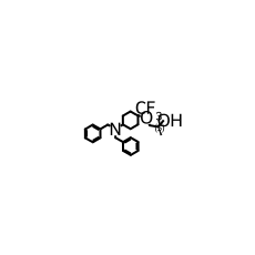 C[C@H](O)COC1(C(F)(F)F)CCC(N(Cc2ccccc2)Cc2ccccc2)CC1